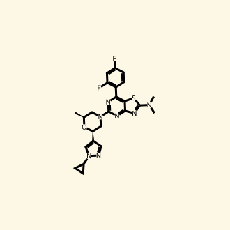 C[C@H]1CN(c2nc(-c3ccc(F)cc3F)c3sc(N(C)C)nc3n2)C[C@@H](c2cnn(C3CC3)c2)O1